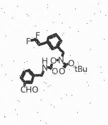 CC(C)(C)OC(=O)N(Cc1cccc(C=C(F)F)c1)OC(=O)NCc1cccc(C=O)c1